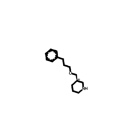 c1ccc(CCCOC[C@@H]2CCCNC2)cc1